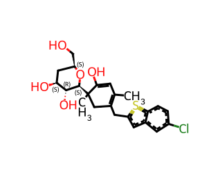 CC1=C(Cc2cc3cc(Cl)ccc3s2)CC(C)([C@@H]2O[C@H](CO)C[C@H](O)[C@H]2O)C(O)=C1